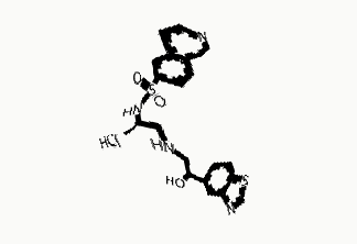 C[C@H](CNCC(O)c1ccc2scnc2c1)NS(=O)(=O)c1ccc2cnccc2c1.Cl